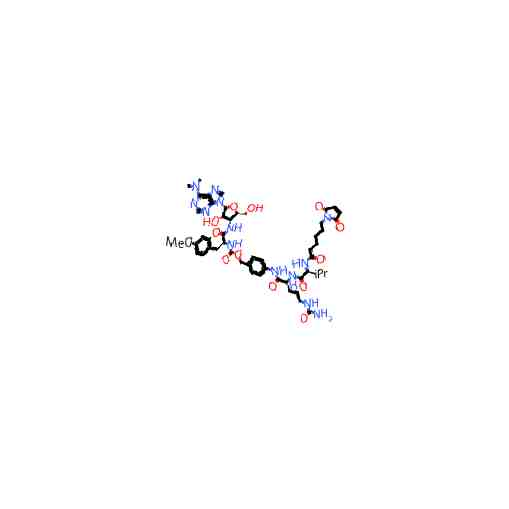 COc1ccc(C[C@H](NC(=O)OCc2ccc(NC(=O)[C@H](CCCNC(N)=O)NC(=O)[C@@H](NC(=O)CCCCCN3C(=O)C=CC3=O)C(C)C)cc2)C(=O)N[C@H]2[C@@H](O)[C@H](n3cnc4c(N(C)C)ncnc43)O[C@@H]2CO)cc1